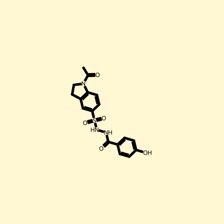 CC(=O)N1CCc2cc(S(=O)(=O)NNC(=O)c3ccc(O)cc3)ccc21